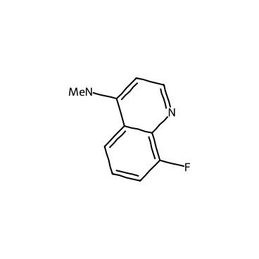 CNc1ccnc2c(F)cccc12